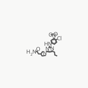 CCCc1cc(N2CCC(CC(N)=O)C2)nc(Nc2ccc(Cl)c([N+](=O)[O-])c2)n1